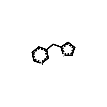 [c]1ccc(Cc2cccnc2)s1